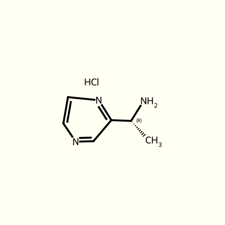 C[C@@H](N)c1cnccn1.Cl